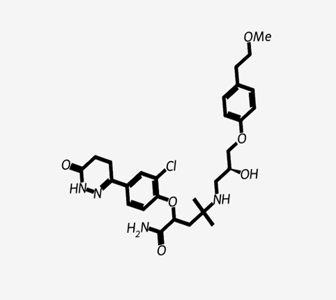 COCCc1ccc(OC[C@@H](O)CNC(C)(C)CC(Oc2ccc(C3=NNC(=O)CC3)cc2Cl)C(N)=O)cc1